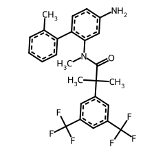 Cc1ccccc1-c1ccc(N)cc1N(C)C(=O)C(C)(C)c1cc(C(F)(F)F)cc(C(F)(F)F)c1